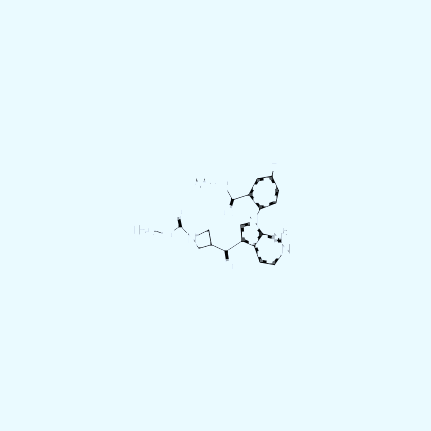 COC(=O)c1cc(F)ccc1-n1cc(C(=O)C2CN(C(=O)OC(C)(C)C)C2)c2ccn[n+]([O-])c21